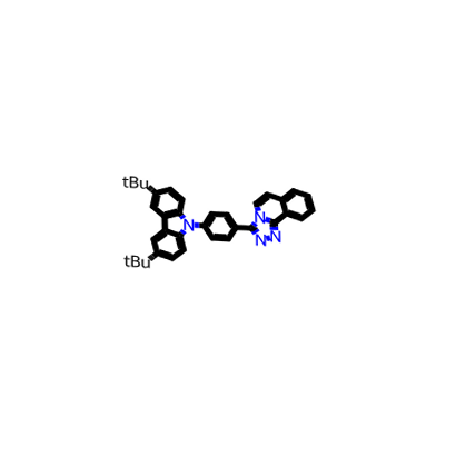 CC(C)(C)c1ccc2c(c1)c1cc(C(C)(C)C)ccc1n2-c1ccc(-c2nnc3c4ccccc4ccn23)cc1